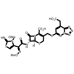 CON=C(C(=O)N[C@@H]1C(=O)N2C(C(=O)O)=C(CSc3cc(CC(=O)O)c4nnnn4n3)CS[C@@H]12)c1csc(=N)n1OC